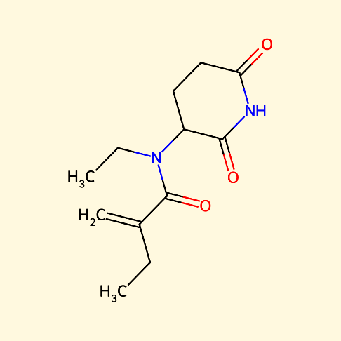 C=C(CC)C(=O)N(CC)C1CCC(=O)NC1=O